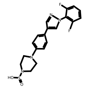 O=S(O)N1CCN(c2ccc(-c3cnn(-c4c(F)cccc4F)c3)cc2)CC1